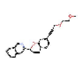 COCCOCC#Cc1ccc2c(c1)OC(c1cc3ccccc3cn1)C=C2